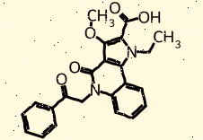 CCn1c(C(=O)O)c(OC)c2c(=O)n(CC(=O)c3ccccc3)c3ccccc3c21